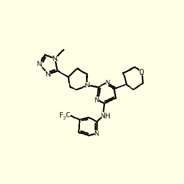 Cn1cnnc1C1CCN(c2nc(Nc3cc(C(F)(F)F)ccn3)cc(C3CCOCC3)n2)CC1